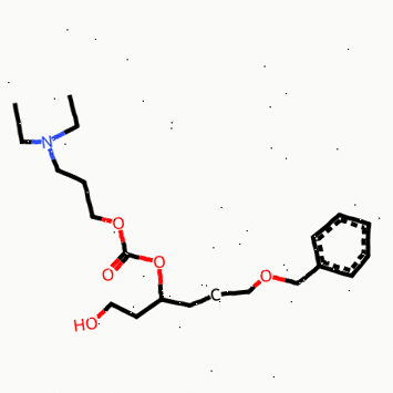 CCN(CC)CCCOC(=O)OC(CCO)CCCOCc1ccccc1